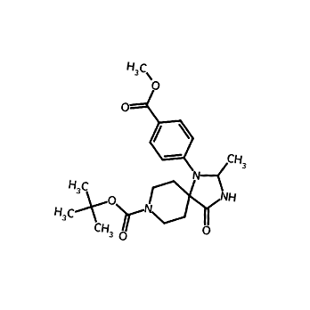 COC(=O)c1ccc(N2C(C)NC(=O)C23CCN(C(=O)OC(C)(C)C)CC3)cc1